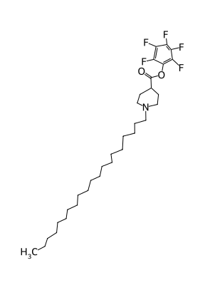 CCCCCCCCCCCCCCCCCCCCN1CCC(C(=O)Oc2c(F)c(F)c(F)c(F)c2F)CC1